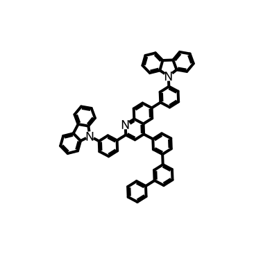 c1ccc(-c2cccc(-c3cccc(-c4cc(-c5cccc(-n6c7ccccc7c7ccccc76)c5)nc5ccc(-c6cccc(-n7c8ccccc8c8ccccc87)c6)cc45)c3)c2)cc1